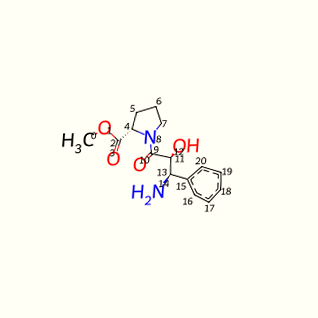 COC(=O)[C@@H]1CCCN1C(=O)[C@@H](O)[C@H](N)c1ccccc1